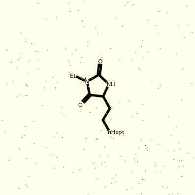 CCCCCCCCCC1NC(=O)N(CC)C1=O